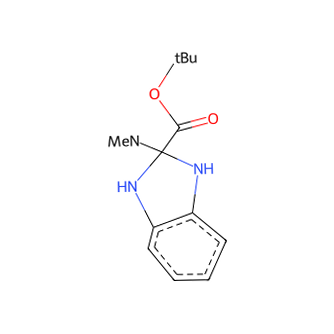 CNC1(C(=O)OC(C)(C)C)Nc2ccccc2N1